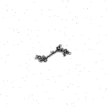 COC(C)c1c(NC(=O)Nc2cc(Cl)cnc2OCCNCCCCCCCNc2cccc3c2C(=O)N(C2CCC(=O)NC2=O)C3=O)cnc2cc(Cl)nn12